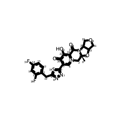 C[C@@]12Cn3cc(-c4nnc(Cc5ccc(F)cc5F)s4)c(=O)c(O)c3C(=O)N1C1COCC1O2